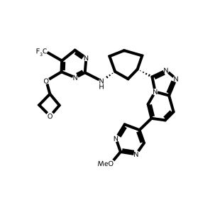 COc1ncc(-c2ccc3nnc([C@H]4CCC[C@@H](Nc5ncc(C(F)(F)F)c(OC6COC6)n5)C4)n3c2)cn1